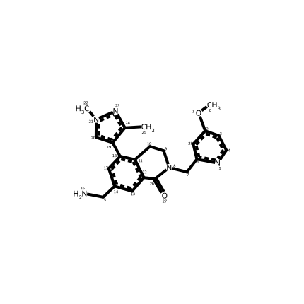 COc1ccnc(CN2CCc3c(cc(CN)cc3-c3cn(C)nc3C)C2=O)c1